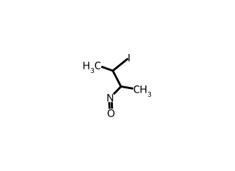 CC(I)C(C)N=O